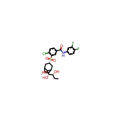 CC[C@@H](O)[C@H](O)[C@@]1(O)C2C[C@@H](S(=O)(=O)c3cc(C(=O)Nc4ccc(F)c(F)c4)ccc3Cl)CC1[C@@H](C)C2